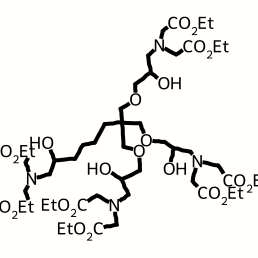 CCOC(=O)CN(CC(=O)OCC)CC(O)CCCCC(COCC(O)CN(CC(=O)OCC)CC(=O)OCC)(COCC(O)CN(CC(=O)OCC)CC(=O)OCC)COCC(O)CN(CC(=O)OCC)CC(=O)OCC